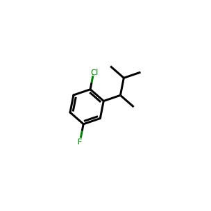 CC(C)C(C)c1cc(F)ccc1Cl